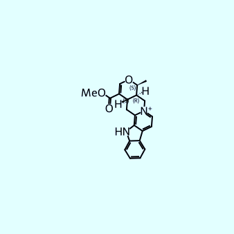 COC(=O)C1=CO[C@@H](C)[C@H]2C[n+]3ccc4c([nH]c5ccccc54)c3C[C@H]12